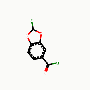 O=C(Cl)c1ccc2c(c1)OC(F)O2